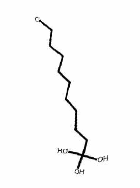 OC(O)(O)CCCCCCCCCCl